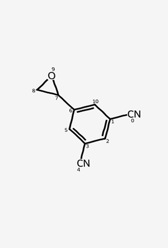 N#Cc1cc(C#N)cc(C2CO2)c1